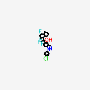 OC(c1ccc2c(cnn2-c2ccc(Cl)cc2)c1)(c1ccc(F)c2ccccc12)C(F)(F)F